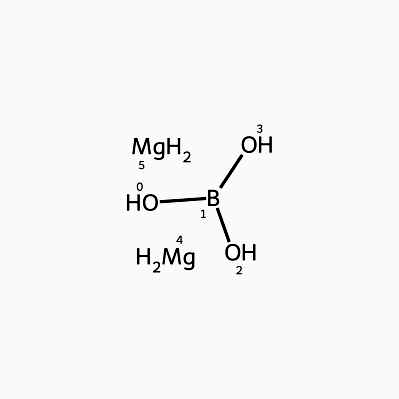 OB(O)O.[MgH2].[MgH2]